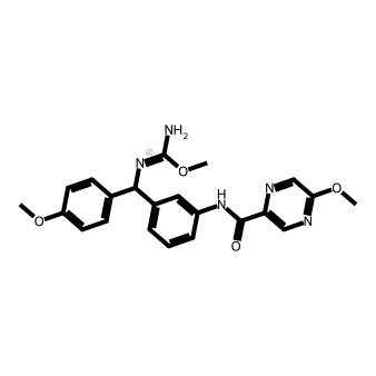 CO/C(N)=N\C(c1ccc(OC)cc1)c1cccc(NC(=O)c2cnc(OC)cn2)c1